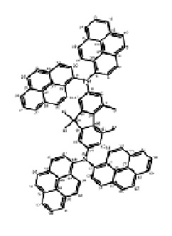 Cc1cc(N(c2ccc3ccc4cccc5ccc2c3c45)c2ccc3ccc4cccc5ccc2c3c45)cc2c1-c1c(C)cc(N(c3ccc4ccc5cccc6ccc3c4c56)c3ccc4ccc5cccc6ccc3c4c56)cc1C2(C)C